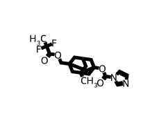 CC12CC3CC(COC(=O)C(C)(F)F)(C1)CC(OC(=O)n1ccnc1)(C3)C2